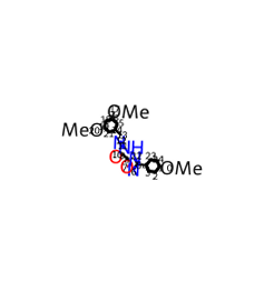 COc1ccc(-c2noc(C(=O)NN=Cc3cc(OC)cc(OC)c3)n2)cc1